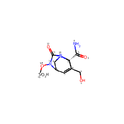 NC(=O)[C@@H]1C(CO)=CC2CN1C(=O)N2OS(=O)(=O)O